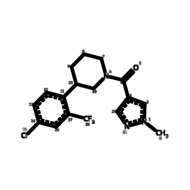 Cn1cc(C(=O)N2CCCC(c3ccc(Cl)cc3C(F)(F)F)C2)cn1